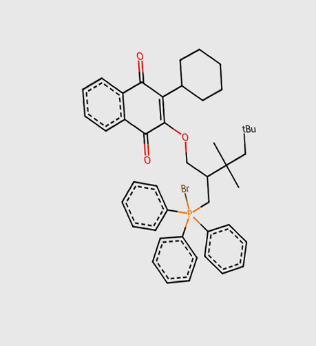 CC(C)(C)CC(C)(C)C(COC1=C(C2CCCCC2)C(=O)c2ccccc2C1=O)CP(Br)(c1ccccc1)(c1ccccc1)c1ccccc1